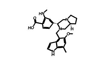 CNc1cc([C@@H]2CN3CCC[C@H]3CN2Cc2c(OC)cc(C)c3[nH]ccc23)ccc1C(=O)O